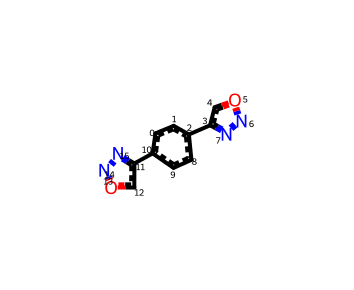 c1cc(-c2conn2)ccc1-c1conn1